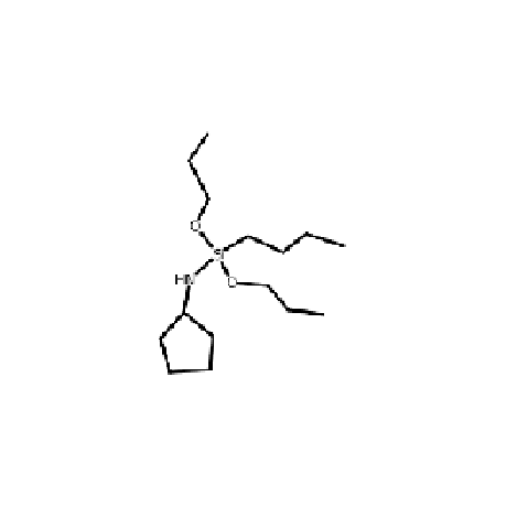 CCCC[Si](NC1CCCC1)(OCCC)OCCC